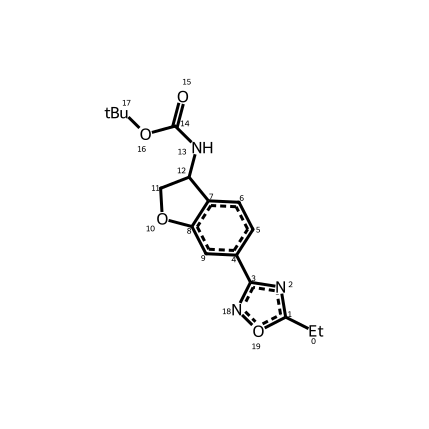 CCc1nc(-c2ccc3c(c2)OCC3NC(=O)OC(C)(C)C)no1